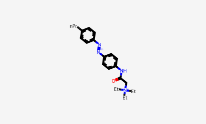 CCCc1ccc(/N=N/c2ccc(NC(=O)C[N+](CC)(CC)CC)cc2)cc1